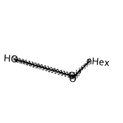 CCCCCCC=CCCCCCCCCCCCC(=O)OCCCCCCCCCCCCCCCCCCCCCCCCCCCCCCCCCCCO